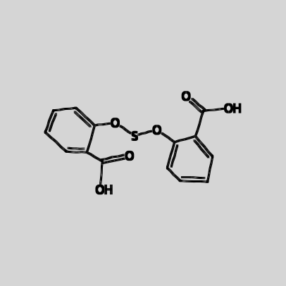 O=C(O)c1ccccc1OSOc1ccccc1C(=O)O